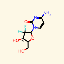 Nc1ccn(C2OC(CO)[C@@H](O)C2(F)F)c(=O)n1